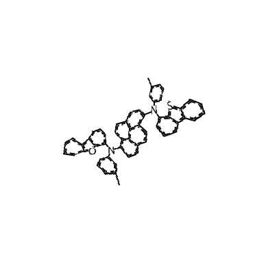 Cc1cccc(N(c2ccc3ccc4c(N(c5cccc(C)c5)c5cccc6c5sc5ccccc56)ccc5ccc2c3c54)c2cccc3c2oc2ccccc23)c1